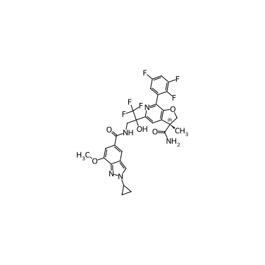 COc1cc(C(=O)NCC(O)(c2cc3c(c(-c4cc(F)cc(F)c4F)n2)OC[C@]3(C)C(N)=O)C(F)(F)F)cc2cn(C3CC3)nc12